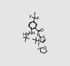 CC(C)(C)NNc1ccc(C(F)(F)F)cc1C(=O)N=C1SC=C[N+]1(C[C@H]1CCCO1)C(C)(C)C